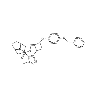 Cc1nnc(C2CC(Oc3ccc(OCc4ccccc4)cc3)C2)n1C1CC2CCC(C1)N2C(=O)OC(C)(C)C